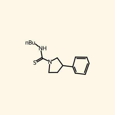 CCCCNC(=S)N1CCC(c2ccccc2)C1